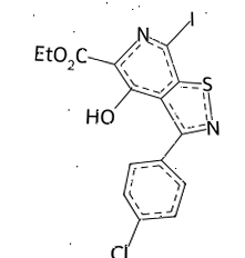 CCOC(=O)c1nc(I)c2snc(-c3ccc(Cl)cc3)c2c1O